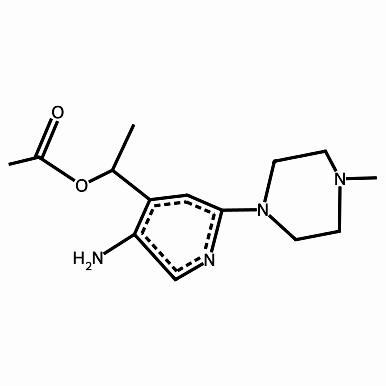 CC(=O)OC(C)c1cc(N2CCN(C)CC2)ncc1N